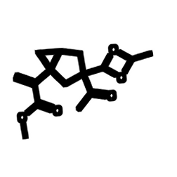 C=C(C(=O)OC)C12CC1CC(C(C)=O)(C1OC(C)O1)C2